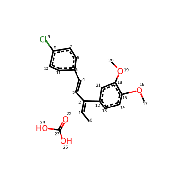 CC=C(C=Cc1ccc(Cl)cc1)c1ccc(OC)c(OC)c1.O=C(O)O